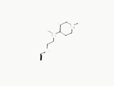 C=COCCN(C)C1CCN(C)CC1